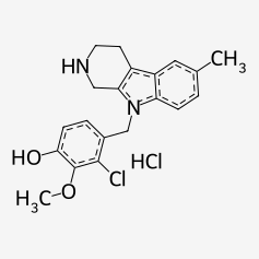 COc1c(O)ccc(Cn2c3c(c4cc(C)ccc42)CCNC3)c1Cl.Cl